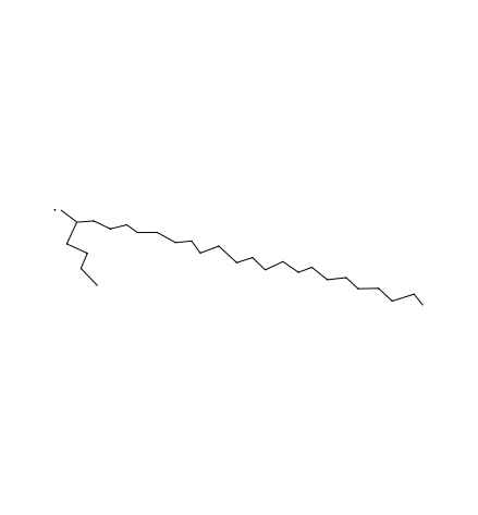 [CH2]C(CCCC)CCCCCCCCCCCCCCCCCCCCCC